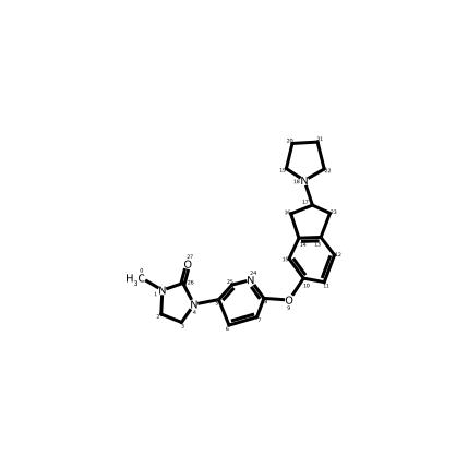 CN1CCN(c2ccc(Oc3ccc4c(c3)CC(N3CCCC3)C4)nc2)C1=O